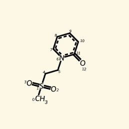 CS(=O)(=O)CCn1ccccc1=O